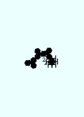 [2H]c1c([2H])c([2H])c(-c2ccc(N(c3ccccc3)c3ccc(-n4c5ccccc5c5cc(-c6ccc7c(c6)c6ccccc6n7-c6ccccc6)ccc54)cc3)cc2)c([2H])c1[2H]